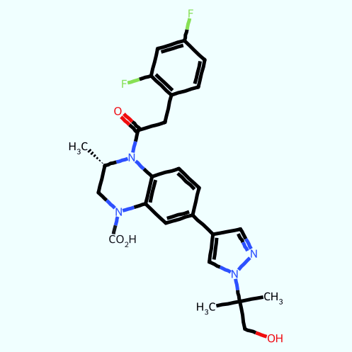 C[C@H]1CN(C(=O)O)c2cc(-c3cnn(C(C)(C)CO)c3)ccc2N1C(=O)Cc1ccc(F)cc1F